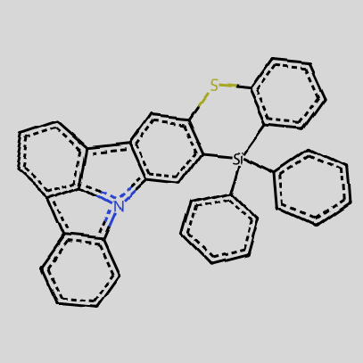 c1ccc([Si]2(c3ccccc3)c3ccccc3Sc3cc4c5cccc6c7ccccc7n(c4cc32)c65)cc1